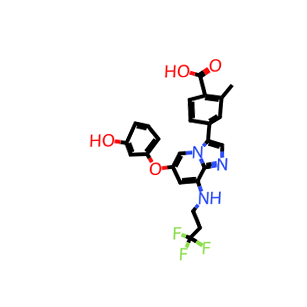 Cc1cc(-c2cnc3c(NCCC(F)(F)F)cc(Oc4cccc(O)c4)cn23)ccc1C(=O)O